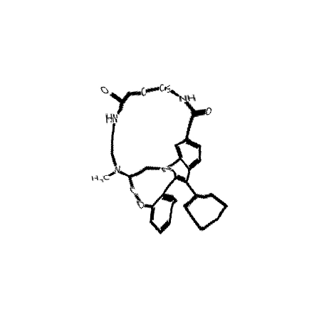 CN1CCNC(=O)CCCSNC(=O)c2ccc3c(C4CCCCC4)c4n(c3c2)CC1COc1ccccc1-4